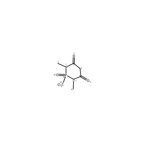 CN1C(=O)CC(=O)N(C)P1(=O)C(Cl)(Cl)Cl